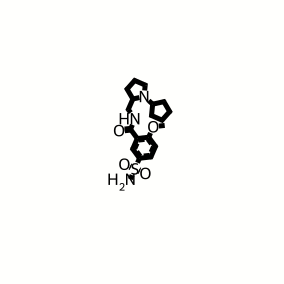 COc1ccc(S(N)(=O)=O)cc1C(=O)NCC1CCCN1C1CCCC1